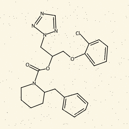 O=C(OC(COc1ccccc1Cl)Cn1ncnn1)N1CCCCC1Cc1ccccc1